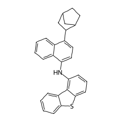 c1ccc2c(c1)sc1cccc(Nc3ccc(C4CC5CCC4C5)c4ccccc34)c12